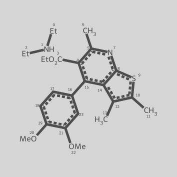 CCNCC.CCOC(=O)c1c(C)nc2sc(C)c(C)c2c1-c1ccc(OC)c(OC)c1